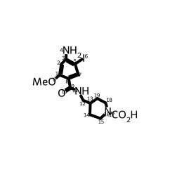 COc1cc(N)c(I)cc1C(=O)NCC1CCN(C(=O)O)CC1